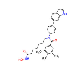 Cc1cc(C(=O)N(CCCCCCC(=O)NO)c2ccc(-c3ccc4cc[nH]c4c3)cc2)cc(C)c1C